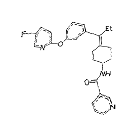 CCC(=C1CCC(NC(=O)c2cccnc2)CC1)c1cccc(Oc2ccc(F)cn2)c1